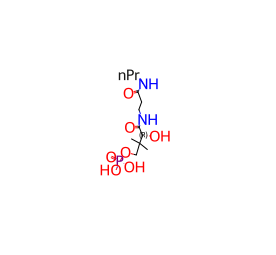 CCCNC(=O)CCNC(=O)[C@H](O)C(C)(C)COP(=O)(O)O